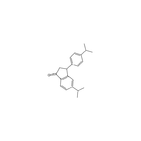 CC(C)c1ccc(C2CC(=O)c3ccc(C(C)C)cc32)cc1